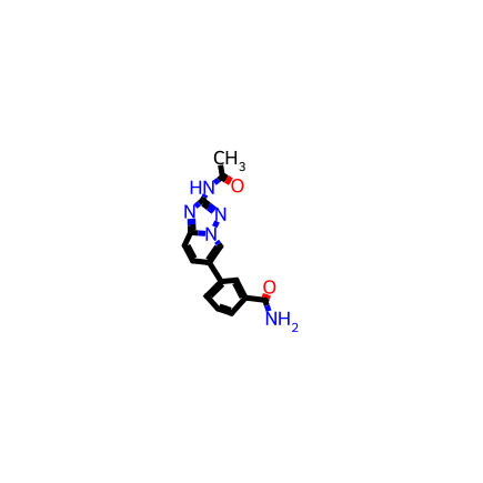 CC(=O)Nc1nc2ccc(-c3cccc(C(N)=O)c3)cn2n1